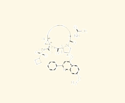 COc1ccc2c(O[C@@H]3C[C@H]4C(=O)N[C@]5(C(=O)NS(=O)(=O)C6CCC6)C[C@H]5CCCCCCC[C@H](NC(=O)O)C(=O)N4C3)cc(-c3ccccc3)nc2c1